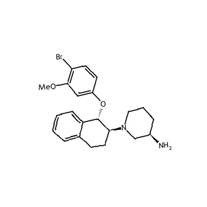 COc1cc(O[C@H]2c3ccccc3CC[C@@H]2N2CCC[C@@H](N)C2)ccc1Br